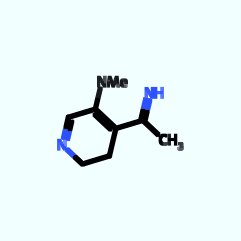 CNC1=C(C(C)=N)CCN=C1